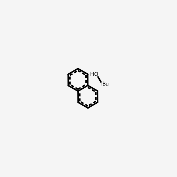 CCC(C)O.c1ccc2ccccc2c1